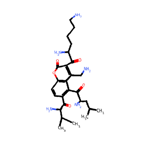 CC(C)CC(N)C(=O)c1c(C(=O)C(N)C(C)C)ccc2oc(=O)c(C(=O)C(N)CCCCN)c(CN)c12